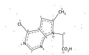 Cc1cc2c(Cl)ncnc2n1CC(=O)O